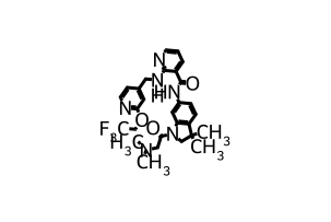 CN(C)CC(=O)N1CC(C)(C)c2ccc(NC(=O)c3cccnc3NCc3ccnc(OCC(F)(F)F)c3)cc21